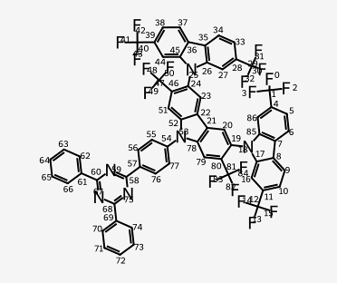 FC(F)(F)c1ccc2c3ccc(C(F)(F)F)cc3n(-c3cc4c5cc(-n6c7cc(C(F)(F)F)ccc7c7ccc(C(F)(F)F)cc76)c(C(F)(F)F)cc5n(-c5ccc(-c6nc(-c7ccccc7)nc(-c7ccccc7)n6)cc5)c4cc3C(F)(F)F)c2c1